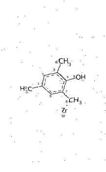 Cc1cc(C)c(O)c(C)c1.[Zr]